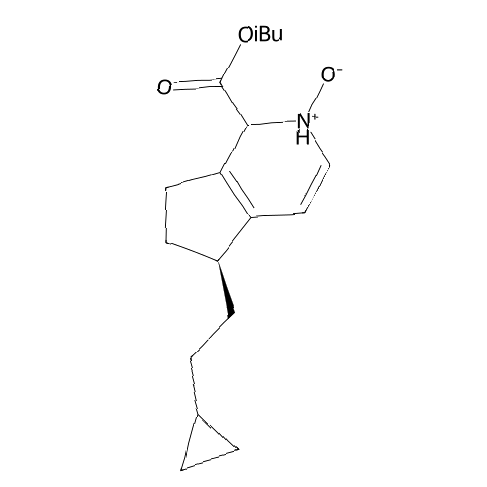 CC(C)COC(=O)C1C2=C(C=C[NH+]1[O-])[C@@H](CCC1CC1)CC2